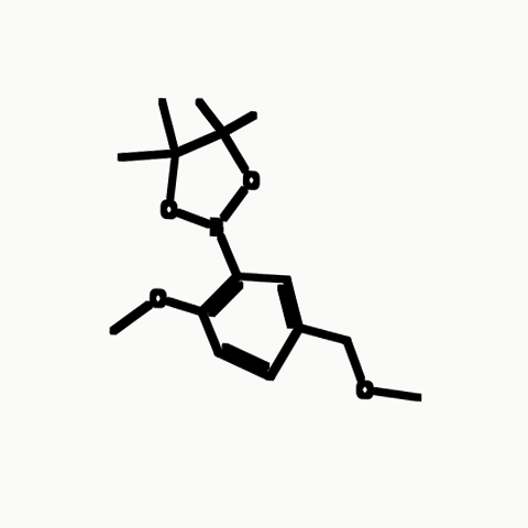 COCc1ccc(OC)c(B2OC(C)(C)C(C)(C)O2)c1